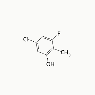 Cc1c(O)cc(Cl)cc1F